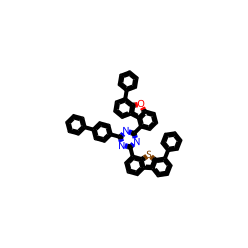 c1ccc(-c2ccc(-c3nc(-c4cccc5c4sc4c(-c6ccccc6)cccc45)nc(-c4cccc5oc6c(-c7ccccc7)cccc6c45)n3)cc2)cc1